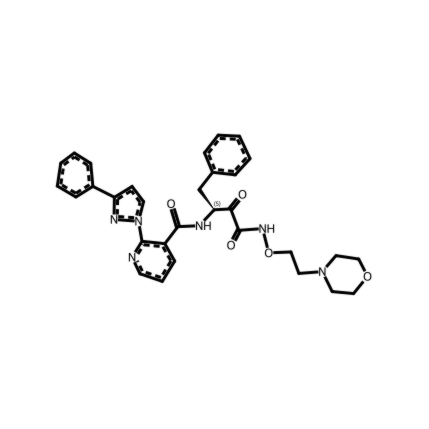 O=C(NOCCN1CCOCC1)C(=O)[C@H](Cc1ccccc1)NC(=O)c1cccnc1-n1ccc(-c2ccccc2)n1